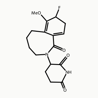 COC1=C2CCCCN(C3CCC(=O)NC3=O)C(=O)C2=CCC1F